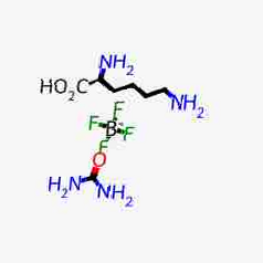 F[B-](F)(F)F.NC(N)=O.NCCCC[C@H](N)C(=O)O